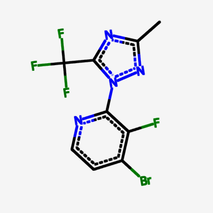 Cc1nc(C(F)(F)F)n(-c2nccc(Br)c2F)n1